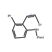 CC/C=C\c1c(NC(C)CCC)cccc1C(C)C